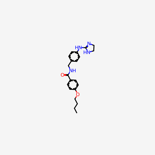 CCCCOc1ccc(C(=O)NCc2ccc(NC3=NCCN3)cc2)cc1